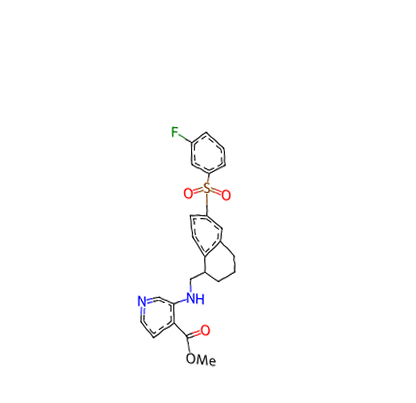 COC(=O)c1ccncc1NCC1CCCc2cc(S(=O)(=O)c3cccc(F)c3)ccc21